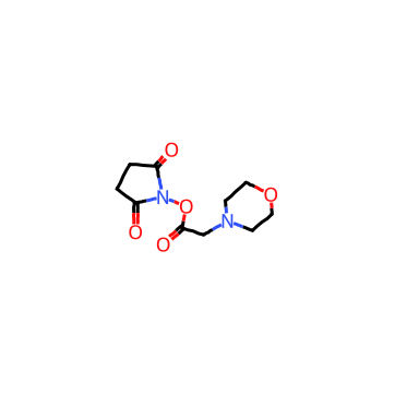 O=C(CN1CCOCC1)ON1C(=O)CCC1=O